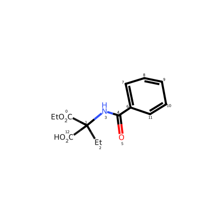 CCOC(=O)C(CC)(NC(=O)c1ccccc1)C(=O)O